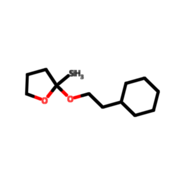 [SiH3]C1(OCCC2CCCCC2)CCCO1